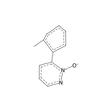 Cc1ccccc1-c1cccn[n+]1[O-]